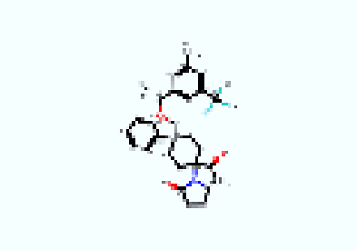 CC(=O)C1(N2CCCC2=O)CCC(CO[C@H](C)c2cc(C)cc(C(F)(F)F)c2)(c2ccccc2)CC1